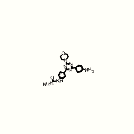 CNC(=O)Nc1ccc(-c2nc(-c3ccc(N)cc3)nc(N3CCOCC3)n2)cc1